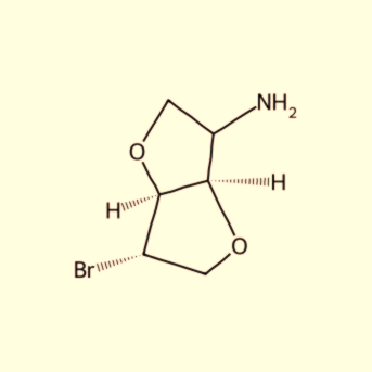 NC1CO[C@H]2[C@@H]1OC[C@@H]2Br